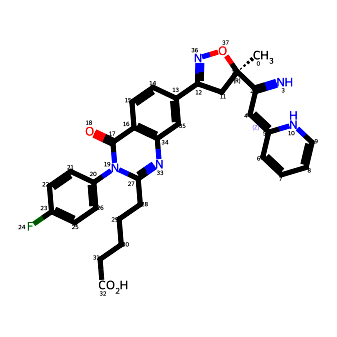 C[C@]1(C(=N)/C=C2/C=CC=CN2)CC(c2ccc3c(=O)n(-c4ccc(F)cc4)c(CCCCC(=O)O)nc3c2)=NO1